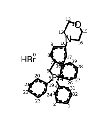 Br.c1ccc([PH](Cc2ccc(N3CCOCC3)cc2)(c2ccccc2)c2ccccc2)cc1